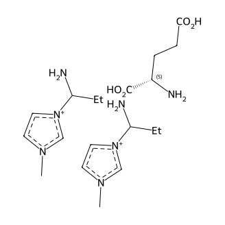 CCC(N)[n+]1ccn(C)c1.CCC(N)[n+]1ccn(C)c1.N[C@@H](CCC(=O)O)C(=O)O